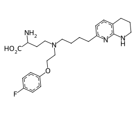 NC(CCN(CCCCc1ccc2c(n1)NCCC2)CCOc1ccc(F)cc1)C(=O)O